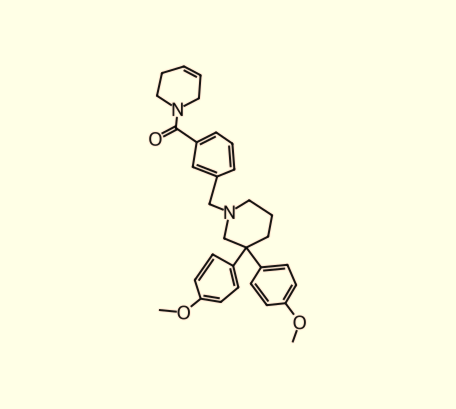 COc1ccc(C2(c3ccc(OC)cc3)CCCN(Cc3cccc(C(=O)N4CC=CCC4)c3)C2)cc1